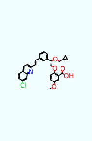 COc1ccc(OC[C@H](OCC2CC2)c2cccc(/C=C/c3ccc4ccc(Cl)cc4n3)c2)c(C(=O)O)c1